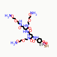 CCP(=O)(S)O[C@H]1CC[C@@H](C(=O)NC(CCC(=O)NC(CCC(=O)NCCOCCON)C(=O)NCCOCCON)C(=O)NCCOCCON)CC1